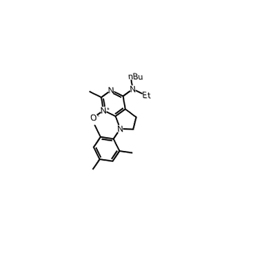 CCCCN(CC)c1nc(C)[n+]([O-])c2c1CCN2c1c(C)cc(C)cc1C